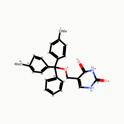 COc1ccc(C(OCc2c[nH]c(=O)[nH]c2=O)(c2ccccc2)c2ccc(OC)cc2)cc1